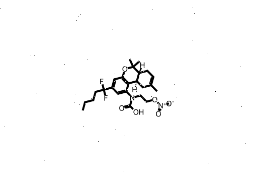 CCCCC(F)(F)c1cc2c(c(N(CCO[N+](=O)[O-])C(=O)O)c1)[C@@H]1CC(C)=CC[C@H]1C(C)(C)O2